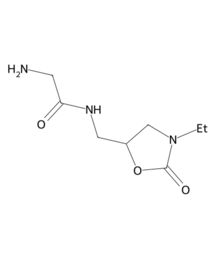 CCN1CC(CNC(=O)CN)OC1=O